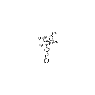 Cc1cc(C)c(S(=O)(=O)O[N+](N)(CCC(C)C)c2ccc(OCc3ccccc3)cc2)c(C)c1